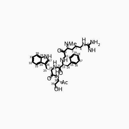 CN[C@@H](CCCNC(=N)N)C(=O)CN[C@@H](Cc1ccccc1)C(=O)N[C@@H](Cc1c[nH]c2ccccc12)C(=O)N[C@@H](CO)C(C)=O